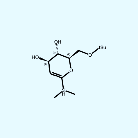 C[SiH](C)C1=C[C@@H](O)[C@H](O)[C@@H](COC(C)(C)C)O1